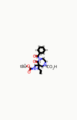 C=CCC1(CNC(=O)OC(C)(C)C)CN(C(=O)O)CCN(C(=O)c2ccccc2)C1=O